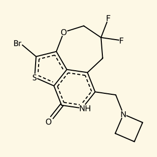 O=c1[nH]c(CN2CCC2)c2c3c(c(Br)sc13)OCC(F)(F)C2